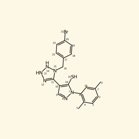 Cc1ccc(C)c(-n2ncc(C3=NNNN3Cc3ccc(Br)cc3)c2S)c1